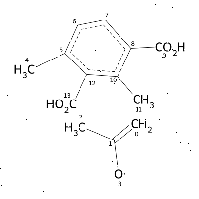 C=C(C)[O].Cc1ccc(C(=O)O)c(C)c1C(=O)O